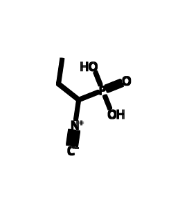 [C-]#[N+]C(CC)P(=O)(O)O